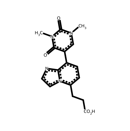 Cn1cc(-c2ccc(CCC(=O)O)n3ccnc23)c(=O)n(C)c1=O